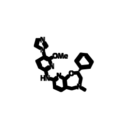 COc1nc(Nc2ccc3c(n2)O[C@H](c2ccccc2)CN(C)C3)ccc1-n1ccnc1